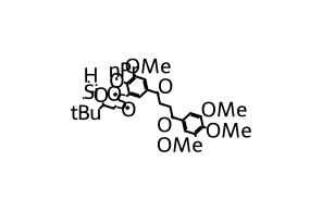 CCCOc1c(OC)cc(C(=O)CCC(=O)c2cc(OC)c(OC)c(OC)c2)cc1S(=O)(=O)CC(O[SiH](C)C)C(C)(C)C